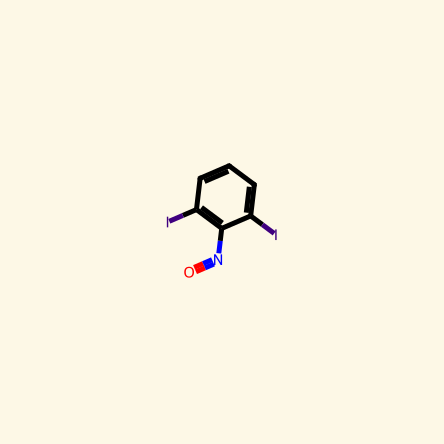 O=Nc1c(I)cccc1I